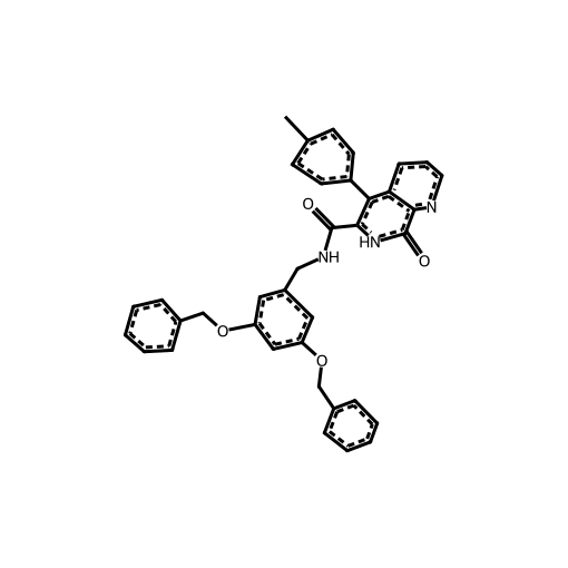 Cc1ccc(-c2c(C(=O)NCc3cc(OCc4ccccc4)cc(OCc4ccccc4)c3)[nH]c(=O)c3ncccc23)cc1